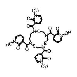 O=C(c1cccn(O)c1=O)N1CCN(C(=O)c2cccn(O)c2=O)CCN(C(=O)c2cccn(O)c2=O)CCN(C(=O)c2cccn(O)c2=O)CC1